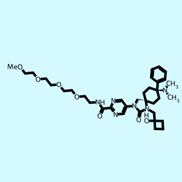 COCCOCCOCCOCCNC(=O)c1ncc(N2C[C@]3(CC[C@](c4ccccc4)(N(C)C)CC3)N(CC3(O)CCC3)C2=O)cn1